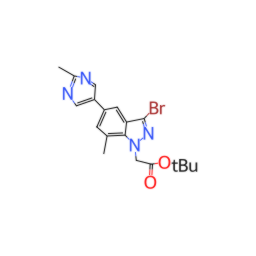 Cc1ncc(-c2cc(C)c3c(c2)c(Br)nn3CC(=O)OC(C)(C)C)cn1